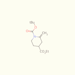 C=C1CC(C(=O)OCC)CCN1C(=O)OC(C)(C)C